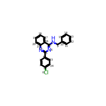 Clc1ccc(-c2nc(NCc3ccccc3)c3ccccc3n2)cc1